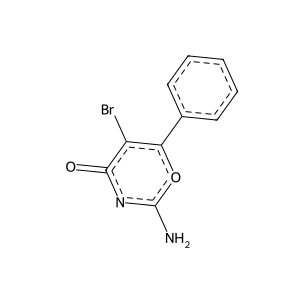 Nc1nc(=O)c(Br)c(-c2ccccc2)o1